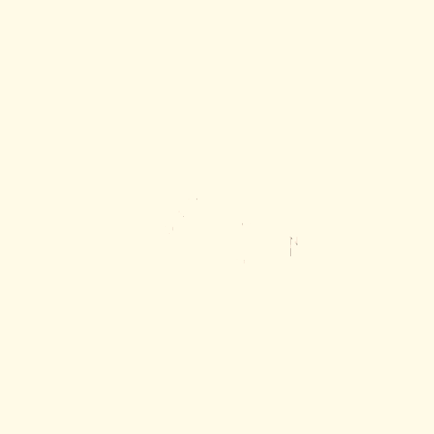 CNCC1COc2ccc(S(=O)(=O)c3ccc(C)cc3)cc2O1